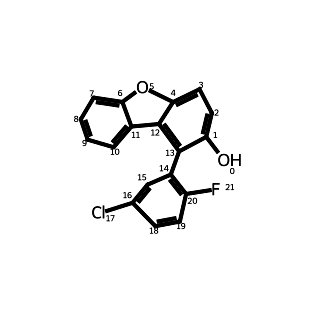 Oc1ccc2oc3ccccc3c2c1-c1cc(Cl)ccc1F